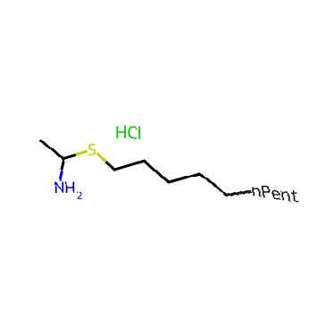 CCCCCCCCCCSC(C)N.Cl